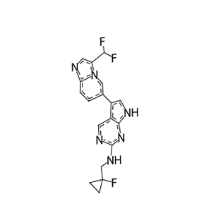 FC(F)c1cnc2ccc(-c3c[nH]c4nc(NCC5(F)CC5)ncc34)cn12